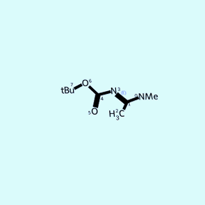 CN/C(C)=N/C(=O)OC(C)(C)C